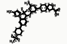 Cc1ccn(-c2cc(C3CCN(S(C)(=O)=O)CC3)ccc2C(Oc2cc(N3CCC4(CC3)CNC(C(=O)O)C4)nc(N)n2)C(F)(F)F)n1